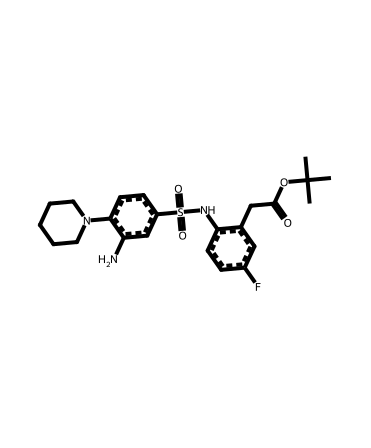 CC(C)(C)OC(=O)Cc1cc(F)ccc1NS(=O)(=O)c1ccc(N2CCCCC2)c(N)c1